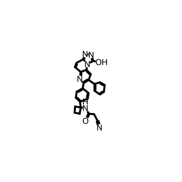 N#CCC(=O)NC1(c2ccc(-c3nc4ccc5nnc(O)n5c4cc3-c3ccccc3)cc2)CCC1